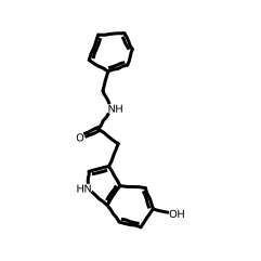 O=C(Cc1c[nH]c2ccc(O)cc12)NCc1ccccc1